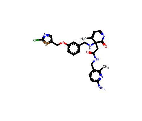 CC1=CC=NC(=O)C1(CC(=O)NCc1ccc(N)nc1C)NCc1cccc(OCc2cnc(Cl)s2)c1